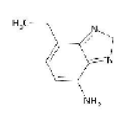 CCc1ccc(N)c2c1=NCN=2